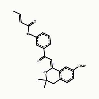 CC=CC(=O)Nc1cccc(C(=O)/C=C2\NC(C)(C)Cc3ccc(OC)cc32)c1